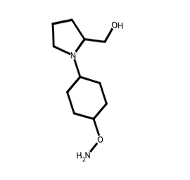 NOC1CCC(N2CCCC2CO)CC1